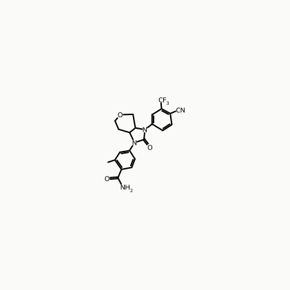 Cc1cc(N2C(=O)N(c3ccc(C#N)c(C(F)(F)F)c3)C3COCCC32)ccc1C(N)=O